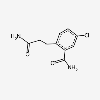 NC(=O)C[CH]c1ccc(Cl)cc1C(N)=O